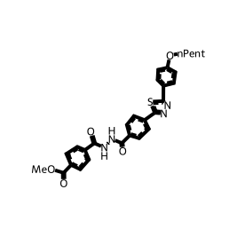 CCCCCOc1ccc(-c2nnc(-c3ccc(C(=O)NNC(=O)c4ccc(C(=O)OC)cc4)cc3)s2)cc1